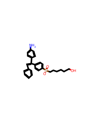 Nc1ccc(C(=Cc2ccccc2)c2ccc(S(=O)(=O)CCCCCCO)cc2)cc1